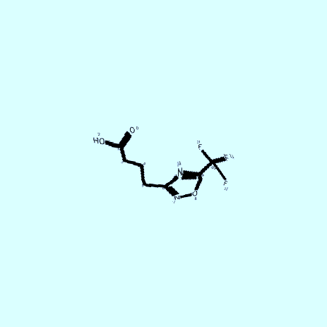 O=C(O)CCCc1noc(C(F)(F)F)n1